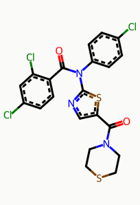 O=C(c1cnc(N(C(=O)c2ccc(Cl)cc2Cl)c2ccc(Cl)cc2)s1)N1CCSCC1